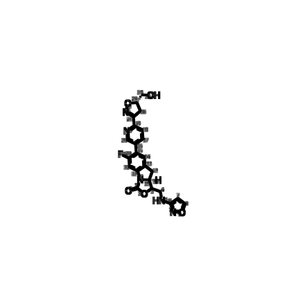 O=C1OC(CNc2ccon2)[C@@H]2Cc3cc(-c4ccc(C5=NO[C@H](CO)C5)nc4)c(F)cc3N12